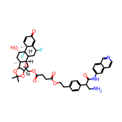 CC1(C)O[C@@H]2C[C@H]3[C@@H]4C[C@H](F)C5=CC(=O)C=C[C@]5(C)[C@@]4(F)[C@@H](O)C[C@]3(C)[C@]2(C(=O)COC(=O)CCC(=O)OCCc2ccc(C(CN)C(=O)Nc3ccc4cnccc4c3)cc2)O1